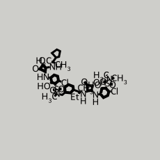 CCC(C)(NC1=C(Nc2ccc(Cl)c(S(=O)(=O)N(C)C)c2O)C(O)C1=O)c1cccc(CN(C)S(=O)(=O)c2c(Cl)ccc(Nc3c(NC(C)(C)C4CCCC4)c(=O)c3=O)c2O)c1